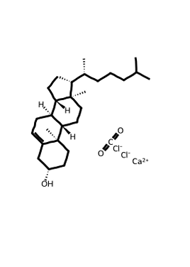 CC(C)CCC[C@@H](C)[C@H]1CC[C@H]2[C@@H]3CC=C4C[C@@H](O)CC[C@]4(C)[C@H]3CC[C@]12C.O=C=O.[Ca+2].[Cl-].[Cl-]